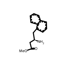 COC(=O)C[C@H](N)Cc1cccc2ccccc12